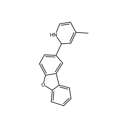 CC1=CC(c2ccc3oc4ccccc4c3c2)NC=C1